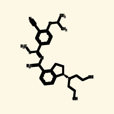 C=C(/N=C(\SC)c1ccc(OC(C)C)c(C#N)c1)c1cccc2c1CC[C@@H]2N(CCO)CCO